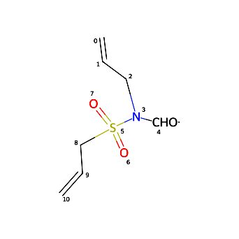 C=CCN([C]=O)S(=O)(=O)CC=C